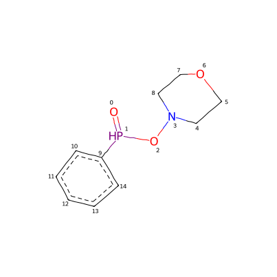 O=[PH](ON1CCOCC1)c1ccccc1